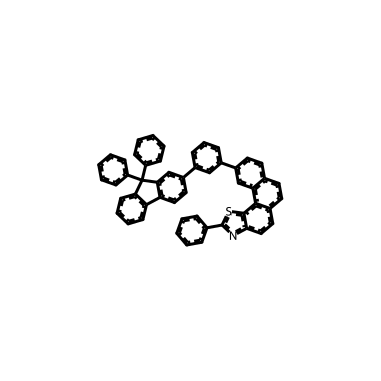 c1ccc(-c2nc3ccc4ccc5ccc(-c6cccc(-c7ccc8c(c7)C(c7ccccc7)(c7ccccc7)c7ccccc7-8)c6)cc5c4c3s2)cc1